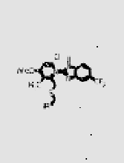 COc1cc[n+](-c2nc3cc(C(F)(F)F)ccc3[nH]2)c(CSCC(C)C)c1C.[Cl-]